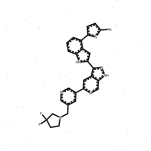 CC(=O)c1ccc(-c2cccc3[nH]c(-c4n[nH]c5cnc(-c6cncc(CN7CCC(F)(F)C7)c6)cc45)cc23)s1